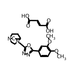 COc1ccc(-c2nnc(N3CCN4CCC3CC4)o2)cc1OC.O=C(O)/C=C/C(=O)O